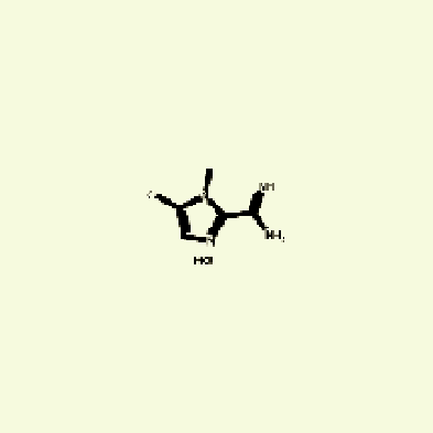 Cl.Cn1c(Cl)cnc1C(=N)N